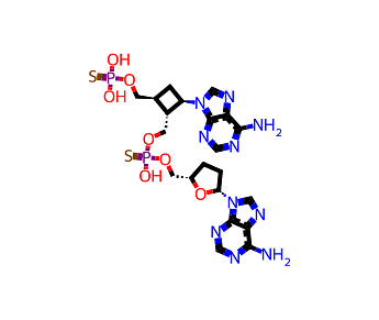 Nc1ncnc2c1ncn2[C@@H]1C[C@H](COP(O)(O)=S)[C@H]1COP(O)(=S)OC[C@@H]1CC[C@H](n2cnc3c(N)ncnc32)O1